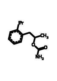 CC(Cc1ccccc1C(C)C)OC(N)=O